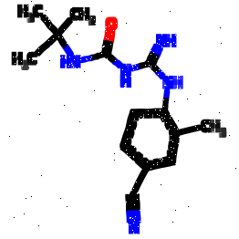 Cc1cc(C#N)ccc1NC(=N)NC(=O)NC(C)(C)C